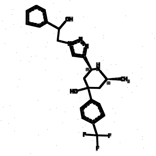 C[C@H]1CC(O)(c2ccc(C(F)(F)F)cc2)C[C@@H](c2cn(CC(O)c3ccccc3)nn2)N1